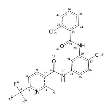 Cc1nc(C(F)(F)F)ccc1C(=O)Nc1ccc(Cl)c(NC(=O)c2ccccc2Cl)c1